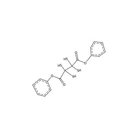 O=C(Oc1ccccc1)C(S)(S)C(S)(S)C(=O)Oc1ccccc1